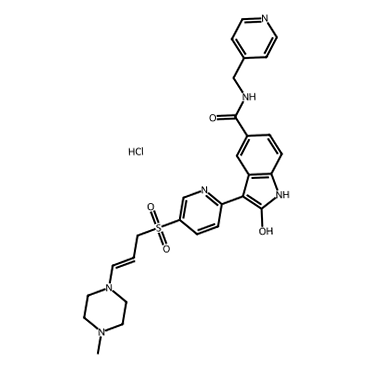 CN1CCN(C=CCS(=O)(=O)c2ccc(-c3c(O)[nH]c4ccc(C(=O)NCc5ccncc5)cc34)nc2)CC1.Cl